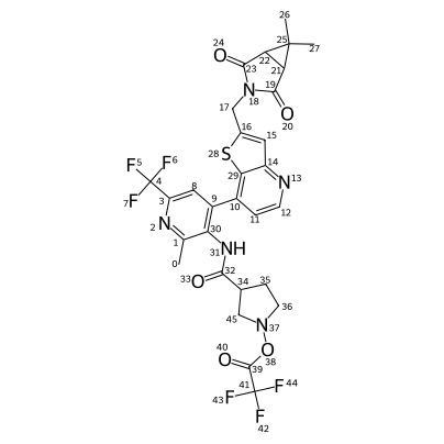 Cc1nc(C(F)(F)F)cc(-c2ccnc3cc(CN4C(=O)C5C(C4=O)C5(C)C)sc23)c1NC(=O)C1CCN(OC(=O)C(F)(F)F)C1